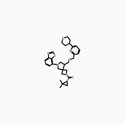 CC1(C)C[C@@H]1C(=O)N1CC2(C1)CN(c1cccc3ncsc13)CC2COCc1cccc(C2CCOCC2)n1